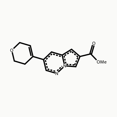 COC(=O)c1cc2cc(C3=CCOCC3)cnn2c1